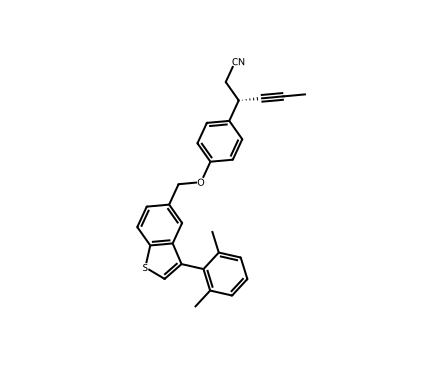 CC#C[C@@H](CC#N)c1ccc(OCc2ccc3scc(-c4c(C)cccc4C)c3c2)cc1